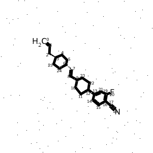 C=CC[C@H]1CC[C@H](/C=C/C2CCC(c3ccc(C#N)c(F)c3)CC2)CC1